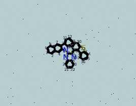 c1ccc2cc3c(cc2c1)c1ccccc1n3-c1nc2ccccc2nc1-c1cccc2sc3ccccc3c12